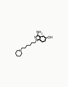 Nc1nn(CCCCCCN2CCCCC2)c2ccc(O)cc12